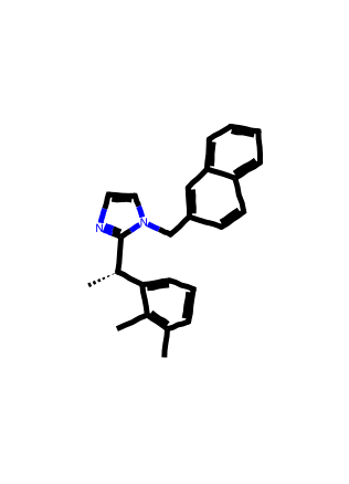 Cc1cccc([C@H](C)c2nccn2Cc2ccc3ccccc3c2)c1C